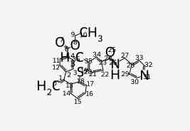 C=C(c1ccc(C(=O)OCC)cc1)c1ccccc1Sc1ccc(C(=O)NCc2ccncc2)cc1C